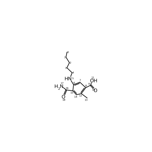 CCCCCNc1cc(C(=O)O)c(C)cc1C(N)=O